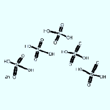 O=S(=O)(O)O.O=S(=O)(O)O.O=S(=O)(O)O.O=S(=O)(O)O.O=S(=O)(O)O.[Zn]